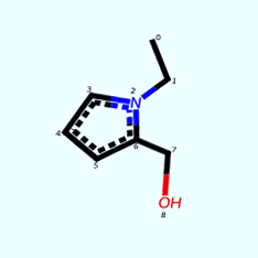 CCn1cccc1CO